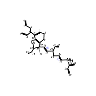 C=CCC(C=C)C1=CCCC2=C1OC(CC)[C@]2(C)/C=C/C(C=C)C/C=C/NC(=C)C=C